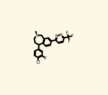 CN1CCC(c2ccc(Cl)c(F)c2)c2ccc(-c3ccc(C(F)(F)F)nn3)cc2C1